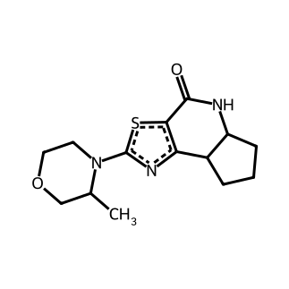 CC1COCCN1c1nc2c(s1)C(=O)NC1CCCC21